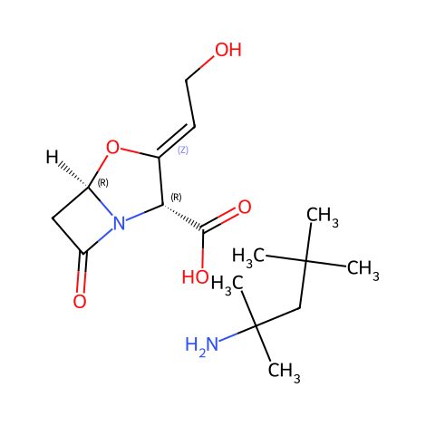 CC(C)(C)CC(C)(C)N.O=C(O)[C@H]1/C(=C/CO)O[C@@H]2CC(=O)N21